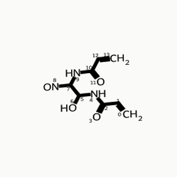 C=CC(=O)NC(O)C(N=O)NC(=O)C=C